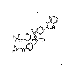 O=C(NCc1ccc(OCC(F)(F)F)cc1)[C@H]1CN(c2cnc3cncnc3n2)CCN1S(=O)(=O)c1ccc(OC(F)(F)F)cc1